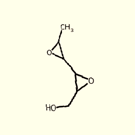 CC1OC1C1OC1CO